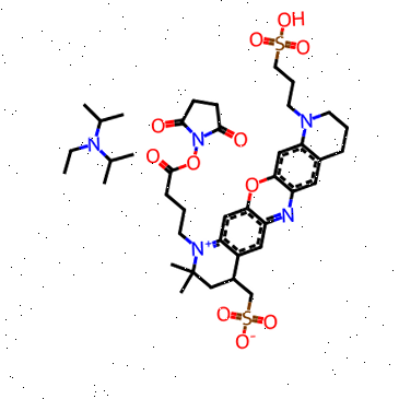 CC1(C)CC(CS(=O)(=O)[O-])c2cc3c(cc2=[N+]1CCCC(=O)ON1C(=O)CCC1=O)Oc1cc2c(cc1N=3)CCCN2CCCS(=O)(=O)O.CCN(C(C)C)C(C)C